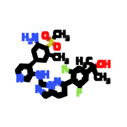 C[C@H]1C[C@@H](c2ccncc2Nc2ncc3ccc(-c4c(F)cc(C(C)(C)O)cc4F)nn23)C[C@@H](N)[C@H]1S(C)(=O)=O